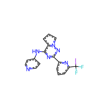 FC(F)(I)c1cccc(-c2nc(Nc3ccncc3)c3cccn3n2)n1